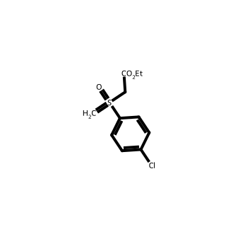 C=S(=O)(CC(=O)OCC)c1ccc(Cl)cc1